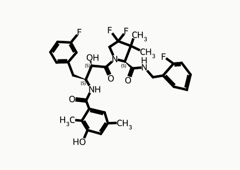 Cc1cc(O)c(C)c(C(=O)N[C@@H](Cc2cccc(F)c2)[C@H](O)C(=O)N2CC(F)(F)C(C)(C)[C@H]2C(=O)NCc2ccccc2F)c1